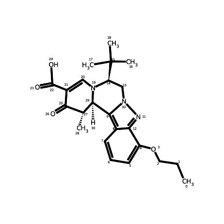 CCCOc1cccc2c3n(nc12)C[C@H](C(C)(C)C)N1C=C(C(=O)O)C(=O)[C@@H](C)[C@H]31